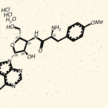 COc1ccc(C[C@H](N)C(=O)N[C@H]2[C@@H](O)[C@H](n3cnc4c(N(C)C)ncnc43)O[C@@H]2CO)cc1.Cl.Cl.O